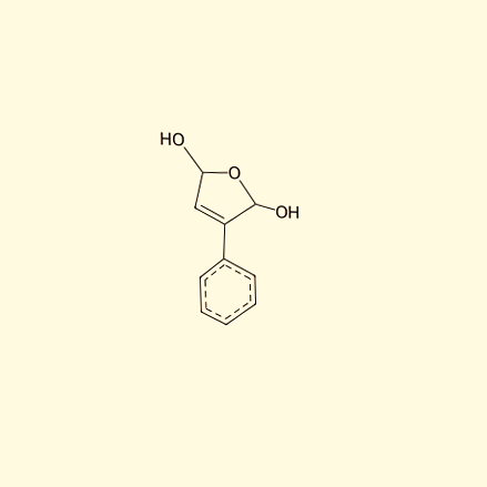 OC1C=C(c2ccccc2)C(O)O1